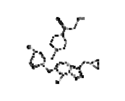 COCC(=O)N1CCN(Cc2cc(Cl)cnc2Oc2ccc3c(nnn3CC3CC3)c2Br)CC1